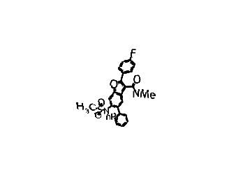 CCCN(c1cc2oc(-c3ccc(F)cc3)c(C(=O)NC)c2cc1-c1ccccc1)S(C)(=O)=O